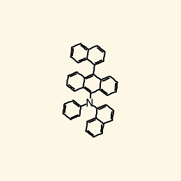 c1ccc(N(c2cccc3ccccc23)c2c3ccccc3c(-c3cccc4ccccc34)c3ccccc23)cc1